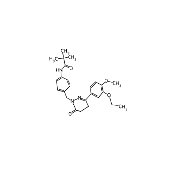 CCOc1cc(C2=NN(Cc3ccc(NC(=O)C(C)(C)C)cc3)C(=O)CC2)ccc1OC